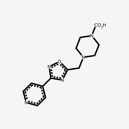 O=C(O)N1CCN(Cc2nc(-c3ccncc3)no2)CC1